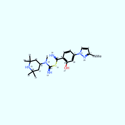 CNc1ccn(-c2ccc(C(=N)SC(=N)N(C)C3CC(C)(C)NC(C)(C)C3)c(O)c2)n1